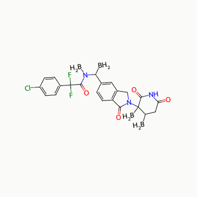 BC(c1ccc2c(c1)CN(C1(B)C(=O)NC(=O)CC1B)C2=O)N(B)C(=O)C(F)(F)c1ccc(Cl)cc1